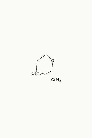 C1CCOCC1.[GeH4].[GeH4]